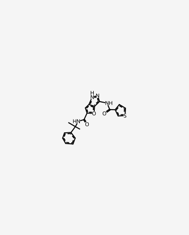 CC(C)(NC(=O)c1cc2[nH]nc(NC(=O)c3ccsc3)c2o1)c1ccccc1